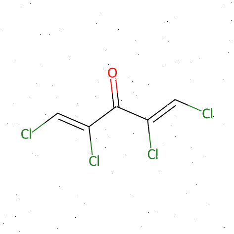 O=C(C(Cl)=CCl)C(Cl)=CCl